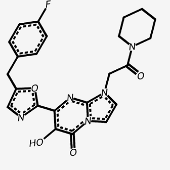 O=C(Cn1ccn2c(=O)c(O)c(-c3ncc(Cc4ccc(F)cc4)o3)nc12)N1CCCCC1